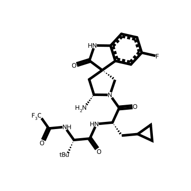 CC(C)(C)[C@H](NC(=O)C(F)(F)F)C(=O)N[C@@H](CC1CC1)C(=O)N1C[C@]2(C[C@H]1N)C(=O)Nc1ccc(F)cc12